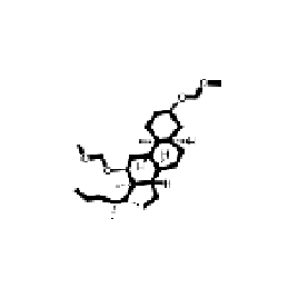 CCC[C@@H](C)[C@H]1CC[C@H]2[C@@H]3CC[C@@H]4C[C@H](OCOC)CC[C@]4(C)[C@H]3C[C@H](OCOC)[C@]12C